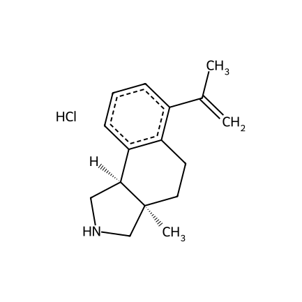 C=C(C)c1cccc2c1CC[C@@]1(C)CNC[C@@H]21.Cl